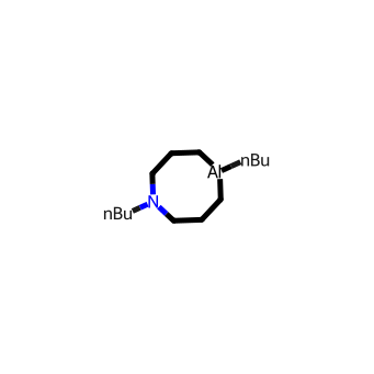 CCCCN1CC[CH2][Al]([CH2]CCC)[CH2]CC1